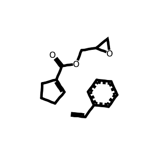 C=Cc1ccccc1.O=C(OCC1CO1)C1=CCCC1